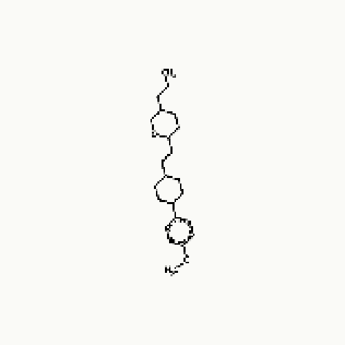 CCCC1CCC(CCC2CCC(c3ccc(OC)cc3)CC2)OC1